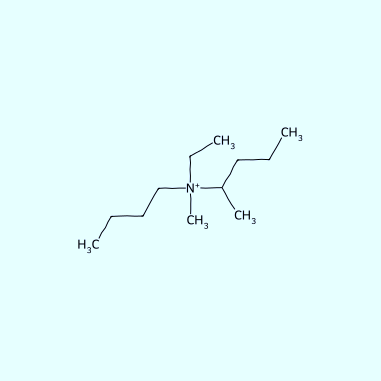 CCCC[N+](C)(CC)C(C)CCC